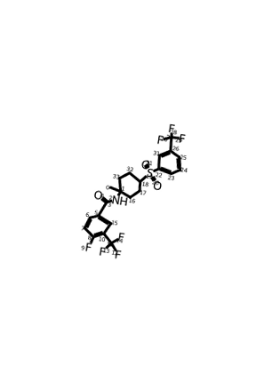 CC1(NC(=O)c2ccc(F)c(C(F)(F)F)c2)CCC(S(=O)(=O)c2cccc(C(F)(F)F)c2)CC1